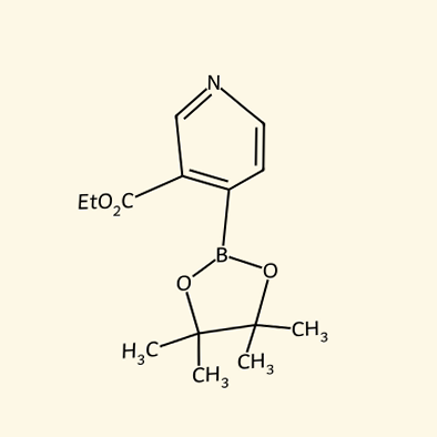 CCOC(=O)c1cnccc1B1OC(C)(C)C(C)(C)O1